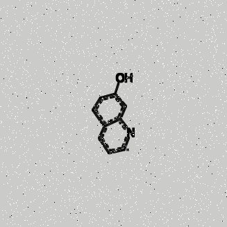 Oc1ccc2cc[c]nc2c1